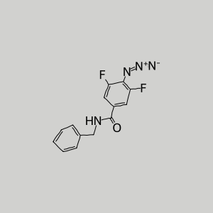 [N-]=[N+]=Nc1c(F)cc(C(=O)NCc2ccccc2)cc1F